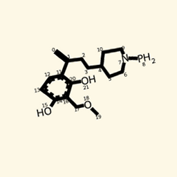 C=C(CCC1CCN(P)CC1)c1ccc(O)c(COC)c1O